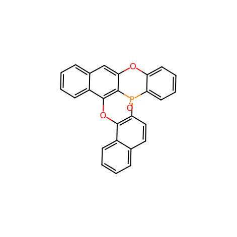 O=P12c3ccccc3Oc3cc4ccccc4c(c31)Oc1c2ccc2ccccc12